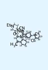 CCN1CCC(C#N)(NC(=O)[C@H](C[C@H](C)c2ccccc2)NC(=O)c2ccc(-c3ccccc3Cl)cc2)CC1